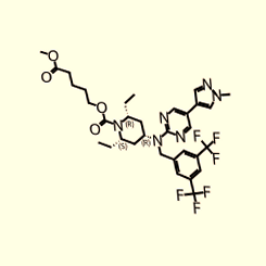 CC[C@@H]1C[C@H](N(Cc2cc(C(F)(F)F)cc(C(F)(F)F)c2)c2ncc(-c3cnn(C)c3)cn2)C[C@H](CC)N1C(=O)OCCCCC(=O)OC